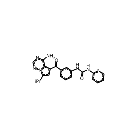 CC(C)c1cc(C(=O)c2cccc(NC(=O)Nc3ccccn3)c2)c2c(N)ncnn12